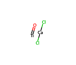 [Cl][Ca][Cl].[O]=[Ti]